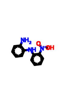 Nc1ccccc1Nc1ccccc1[N+](=O)O